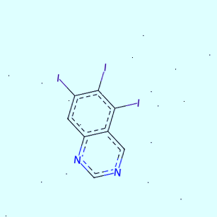 Ic1cc2ncncc2c(I)c1I